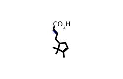 CC1=CCC(C/C=C/C(=O)O)C1(C)C